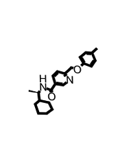 Cc1ccc(OCc2ccc(C(=O)N[C@H](C)C3CCCCC3)cn2)cc1